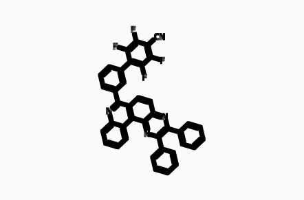 N#Cc1c(F)c(F)c(-c2cccc(-c3nc4ccccc4c4c3ccc3nc(-c5ccccc5)c(-c5ccccc5)nc34)c2)c(F)c1F